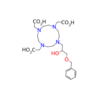 O=C(O)CN1CCN(CC(=O)O)CCN(CC(O)COCc2ccccc2)CCN(CC(=O)O)CC1